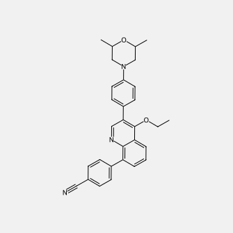 CCOc1c(-c2ccc(N3CC(C)OC(C)C3)cc2)cnc2c(-c3ccc(C#N)cc3)cccc12